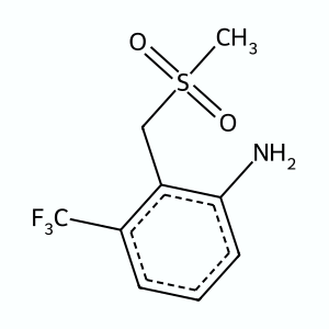 CS(=O)(=O)Cc1c(N)cccc1C(F)(F)F